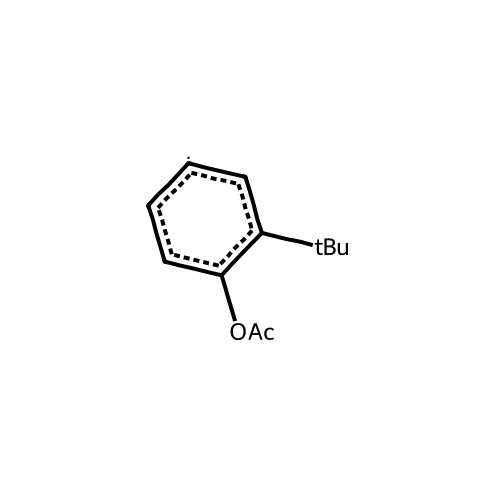 CC(=O)Oc1cc[c]cc1C(C)(C)C